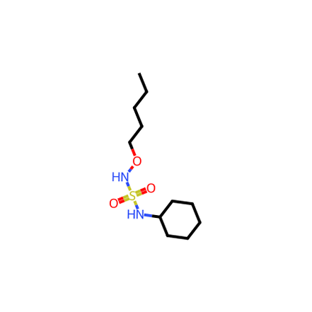 CCCCCONS(=O)(=O)NC1CCCCC1